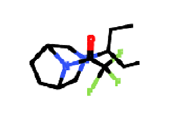 CCC(CC)N1CC2CCC(C1)N2C(=O)C(F)(F)F